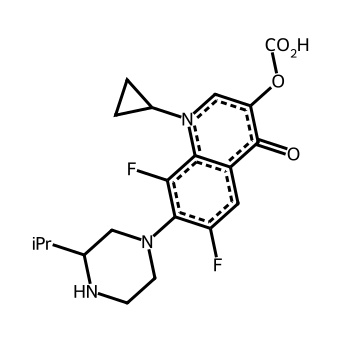 CC(C)C1CN(c2c(F)cc3c(=O)c(OC(=O)O)cn(C4CC4)c3c2F)CCN1